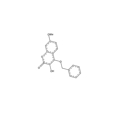 COc1ccc2c(OCc3ccccc3)c(O)c(=O)oc2c1